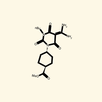 CCCCN1C(=O)C(=C(N)N)C(=O)N([C@H]2CC[C@H](C(=O)OC)CC2)C1=O